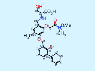 CON(C)C(=O)COc1cc(OCc2cccc(C3=CC=CCC3)c2Br)c(C)cc1CN[C@@H](CO)C(=O)O